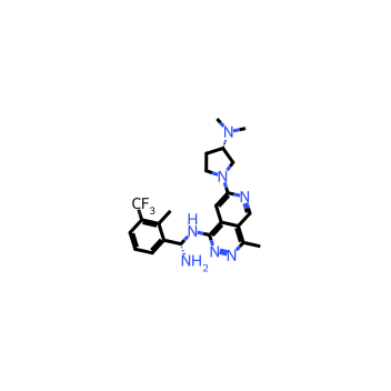 Cc1c([C@@H](N)Nc2nnc(C)c3cnc(N4CC[C@H](N(C)C)C4)cc23)cccc1C(F)(F)F